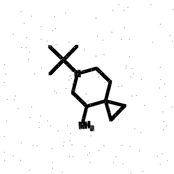 CC(C)(C)N1CCC2(CC2)C(N)C1